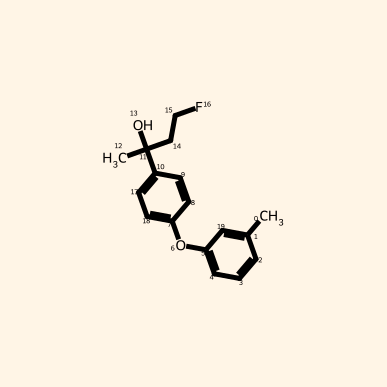 Cc1cccc(Oc2ccc(C(C)(O)CCF)cc2)c1